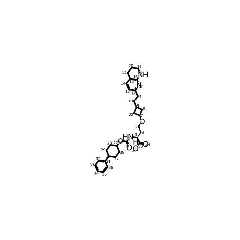 O=C(N[C@@H](CCOC1CC(CCc2ccc3c(n2)NCCC3)C1)C(=O)O)OC1CCC(c2ccccc2)CC1